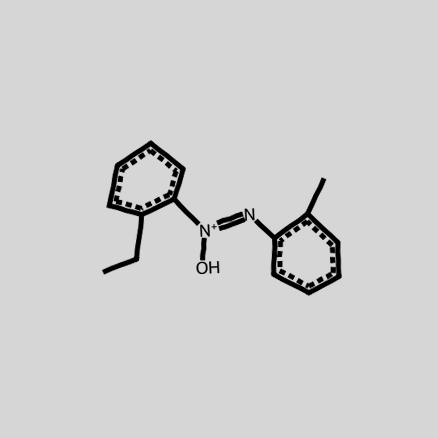 CCc1ccccc1[N+](O)=Nc1ccccc1C